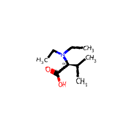 CCN(CC)[C@H](C(=O)O)C(C)C